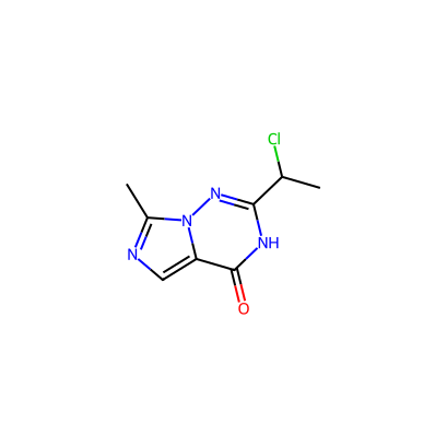 Cc1ncc2c(=O)[nH]c(C(C)Cl)nn12